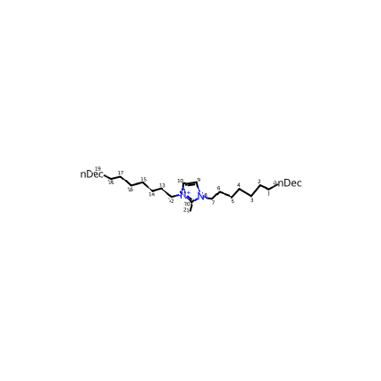 CCCCCCCCCCCCCCCCCn1cc[n+](CCCCCCCCCCCCCCCCC)c1C